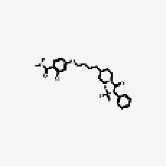 CN(C)C(=O)c1ccc(OCCCCC2CCN(C(=O)[C@H](c3ccccc3)C(F)(F)F)CC2)cc1Cl